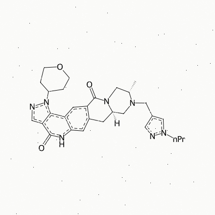 CCCn1cc(CN2C[C@H]3Cc4cc5[nH]c(=O)c6cnn(C7CCOCC7)c6c5cc4C(=O)N3C[C@@H]2C)cn1